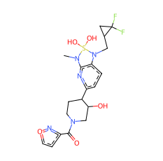 CN1c2nc(C3CCN(C(=O)c4ccon4)CC3O)ccc2N(CC2CC2(F)F)S1(O)O